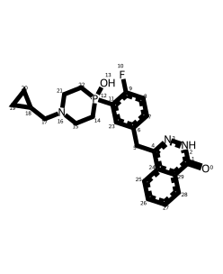 O=c1[nH]nc(Cc2ccc(F)c([P]3(O)CCN(CC4CC4)CC3)c2)c2ccccc12